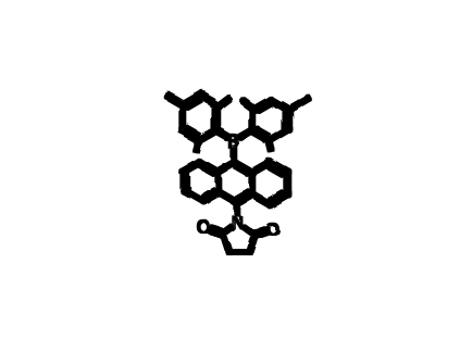 Cc1cc(C)c(B(c2c(C)cc(C)cc2C)c2c3ccccc3c(N3C(=O)CCC3=O)c3ccccc23)c(C)c1